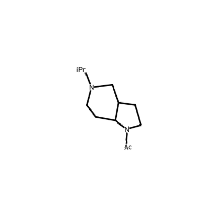 CC(=O)N1CCC2CN(C(C)C)CCC21